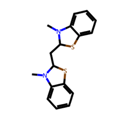 CN1c2ccccc2SC1CC1Sc2ccccc2N1C